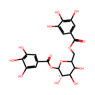 O=C(OCC1OC(OC(=O)c2cc(O)c(O)c(O)c2)[C@@H](O)C(O)C1O)c1cc(O)c(O)c(O)c1